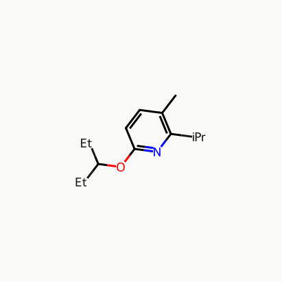 CCC(CC)Oc1ccc(C)c(C(C)C)n1